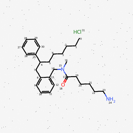 CCCCCCC(Cc1ccccc1CN(C)C(=O)CCCCCN)c1ccccc1.Cl